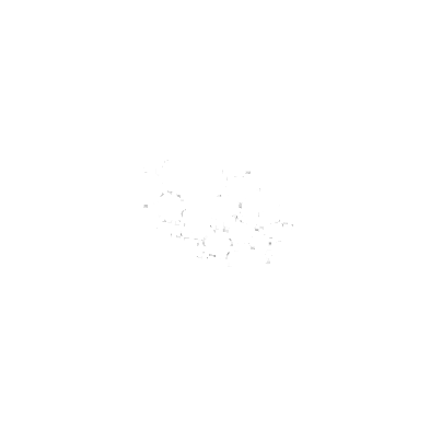 CC(C)c1ccc(Nc2ncc3c(n2)N(C2CCCC2)C2(CCNC2=O)C3)cc1